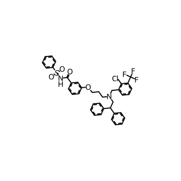 O=C(NS(=O)(=O)c1ccccc1)c1cccc(OCCCN(Cc2cccc(C(F)(F)F)c2Cl)CC(c2ccccc2)c2ccccc2)c1